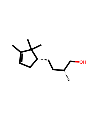 CC1=CC[C@@H](CC[C@@H](C)CO)C1(C)C